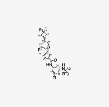 Cc1sc(C(=O)Nc2cc(Cl)cc(NS(C)(=O)=O)c2)cc1-c1ncc(N2CC(F)(F)C2)cc1F